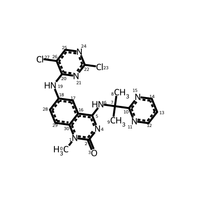 Cn1c(=O)nc(NC(C)(C)c2ncccn2)c2cc(Nc3nc(Cl)ncc3Cl)ccc21